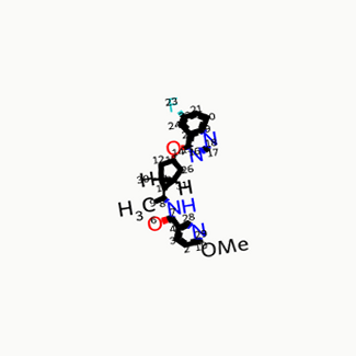 COc1ccc(C(=O)NC(C)[C@H]2[C@@H]3C[C@@H](Oc4ncnc5ccc(F)cc45)C[C@@H]32)cn1